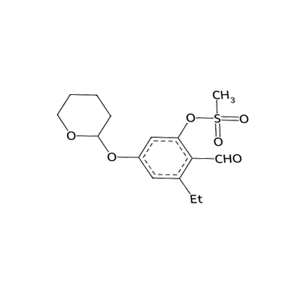 CCc1cc(OC2CCCCO2)cc(OS(C)(=O)=O)c1C=O